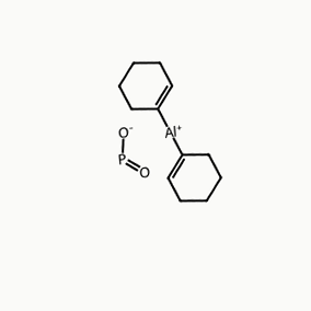 C1=[C]([Al+][C]2=CCCCC2)CCCC1.O=P[O-]